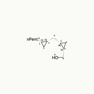 CCCCC[C@H]1C[C@H]1C[C@@H]1C[C@@H]1CO